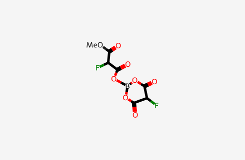 COC(=O)C(F)C(=O)OB1OC(=O)C(F)C(=O)O1